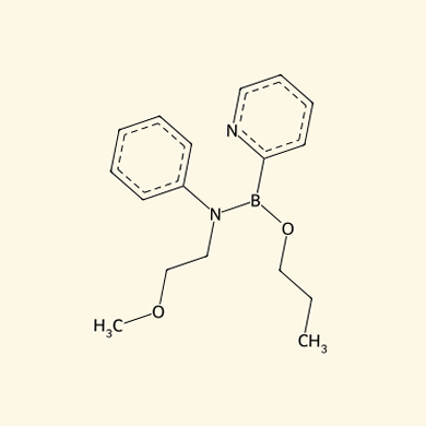 CCCOB(c1ccccn1)N(CCOC)c1ccccc1